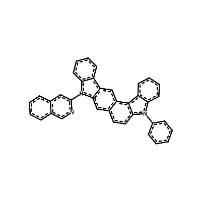 c1ccc(-n2c3ccccc3c3c4cc5c6ccccc6n(-c6cc7ccccc7cn6)c5cc4ccc32)cc1